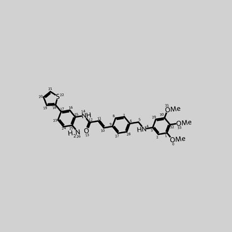 COc1cc(NCc2ccc(C=CC(=O)Nc3cc(-c4cccs4)ccc3N)cc2)cc(OC)c1OC